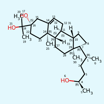 C[C@H](CC[C@@H](C)O)[C@H]1CC[C@H]2[C@@H]3CC=C4C[C@](O)(C(C)(C)O)CC[C@]4(C)[C@H]3CC[C@]12C